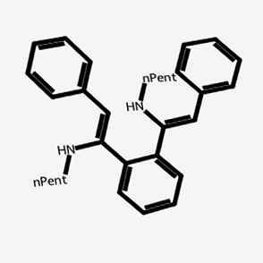 CCCCCNC(=Cc1ccccc1)c1ccccc1C(=Cc1ccccc1)NCCCCC